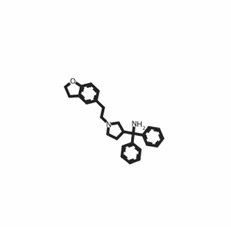 NC(c1ccccc1)(c1ccccc1)C1CCN(CCc2ccc3c(c2)CCO3)C1